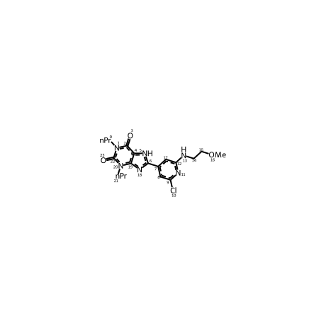 CCCn1c(=O)c2[nH]c(-c3cc(Cl)nc(NCCOC)c3)nc2n(CCC)c1=O